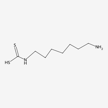 NCCCCCCCNC(=S)S